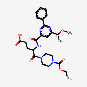 CCOC(=O)N1CCN(C(=O)C(CCC(=O)O)NC(=O)c2cc([C@H](C)OC)nc(-c3ccccc3)n2)CC1